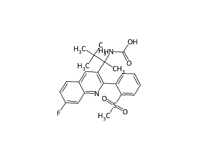 CC(C)(C)C(C)(NC(=O)O)c1cc2ccc(F)cc2nc1-c1ccccc1S(C)(=O)=O